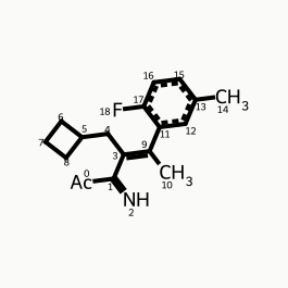 CC(=O)C(=N)/C(CC1CCC1)=C(\C)c1cc(C)ccc1F